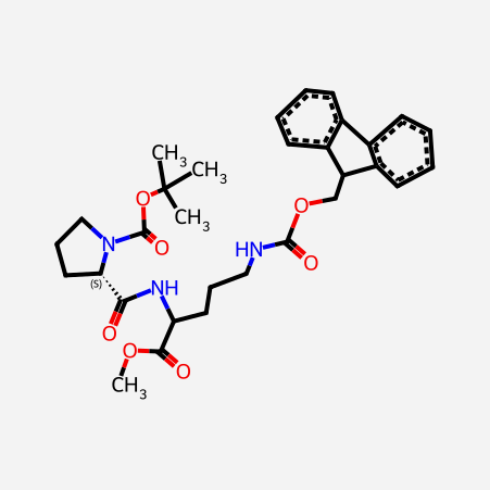 COC(=O)C(CCCNC(=O)OCC1c2ccccc2-c2ccccc21)NC(=O)[C@@H]1CCCN1C(=O)OC(C)(C)C